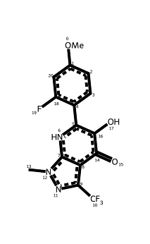 COc1ccc(-c2[nH]c3c(c(C(F)(F)F)nn3C)c(=O)c2O)c(F)c1